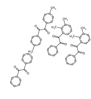 Cc1ccc(C(=O)C(=O)c2ccc(C)cc2)cc1.Cc1cccc(C(=O)C(=O)c2ccccc2)c1C.Cc1cccc(C(=O)C(=O)c2ccccc2)c1C.O=C(C(=O)c1ccccc1)c1ccccc1